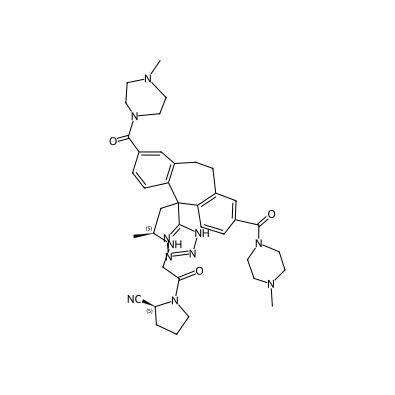 C[C@@H](CC1(c2nnn[nH]2)c2ccc(C(=O)N3CCN(C)CC3)cc2CCc2cc(C(=O)N3CCN(C)CC3)ccc21)NCC(=O)N1CCC[C@H]1C#N